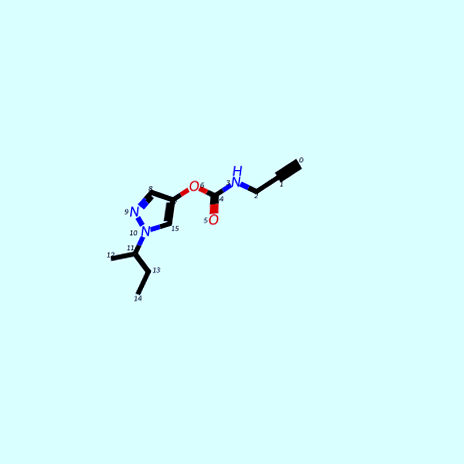 C#CCNC(=O)Oc1cnn(C(C)CC)c1